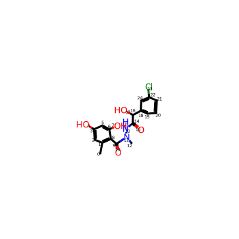 Cc1cc(O)cc(O)c1C(=O)N(C)NC(=O)C(O)c1cccc(Cl)c1